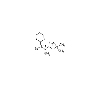 CCN(C1CCCCC1)[SiH](C)CC[Si](C)(C)C